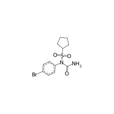 NC(=O)N(c1ccc(Br)cc1)S(=O)(=O)C1CCCC1